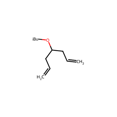 C=CCC(CC=C)OC(C)CC